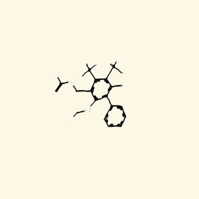 CCNc1c(COC(C)=O)c(C(F)(F)F)c(C(F)(F)F)c(C)c1-c1ccccc1